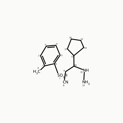 Cc1ccccc1S(=O)(=O)O.N#CCC(NN)C1CCCC1